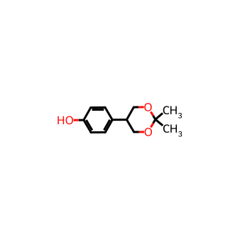 CC1(C)OCC(c2ccc(O)cc2)CO1